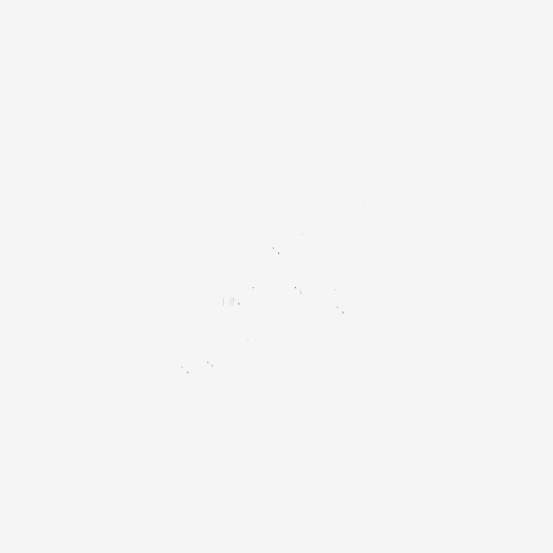 Cc1nnc(C(=O)NC(C)(C)c2nc(C(=O)NCc3ccc(F)cc3)c(OCOC(=O)OC(C)C)c(=O)n2C)o1